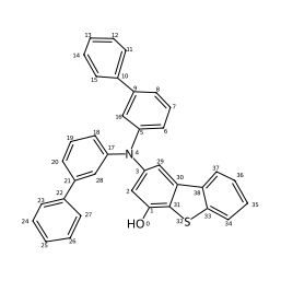 Oc1cc(N(c2cccc(-c3ccccc3)c2)c2cccc(-c3ccccc3)c2)cc2c1sc1ccccc12